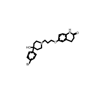 O=C1CCc2cc(OCCCN3CCC(O)(c4ccc(Br)cc4)CC3)ccc2N1